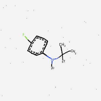 CCC(C)(C)N(c1ccc(F)cc1)C(C)C